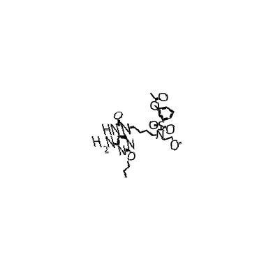 CCCCOc1nc(N)c2[nH]c(=O)n(CCCCN(CCOC)S(=O)(=O)c3cccc(OC(C)=O)c3)c2n1